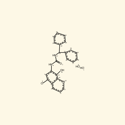 Cl.Cl.O=C(Nc1cc(Cl)c2cccnc2c1O)NC(c1ccccc1)c1ccccn1